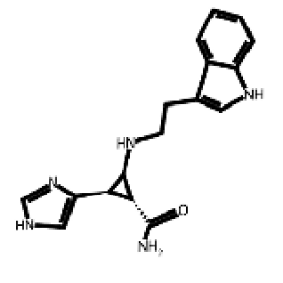 NC(=O)[C@H]1C(NCCc2c[nH]c3ccccc23)[C@@H]1c1c[nH]cn1